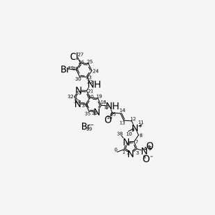 Cc1nc([N+](=O)[O-])c(C[N+](C)(C)C/C=C/C(=O)Nc2cc3c(Nc4ccc(Cl)c(Br)c4)ncnc3cn2)n1C.[Br-]